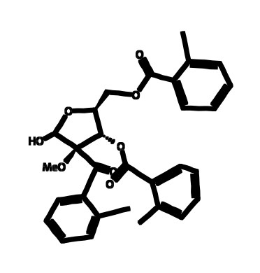 CO[C@@]1(C(=O)c2ccccc2C)C(O)O[C@@H](COC(=O)c2ccccc2C)[C@@H]1OC(=O)c1ccccc1C